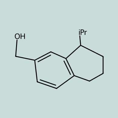 CC(C)C1CCCc2ccc(CO)cc21